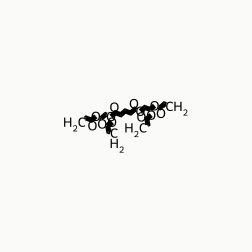 C=CC(=O)OC(COC(=O)CCCC(=O)OCC(OC(=O)C=C)OC(=O)C=C)OC(=O)C=C